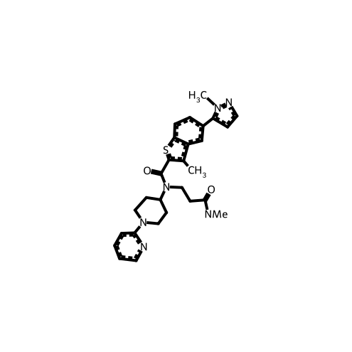 CNC(=O)CCN(C(=O)c1sc2ccc(-c3ccnn3C)cc2c1C)C1CCN(c2ccccn2)CC1